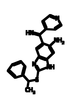 CC(Sc1nc2cc(C(=N)c3ccncc3)c(N)cc2[nH]1)c1ccccc1